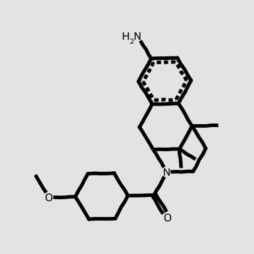 COC1CCC(C(=O)N2CCC3(C)c4ccc(N)cc4CC2C3(C)C)CC1